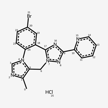 Cc1ncn2c1Cn1nc(-c3ccccn3)nc1-c1cc(Br)ccc1-2.Cl